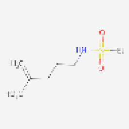 C=C(CCCNS(=O)(=O)CC)C(=O)O